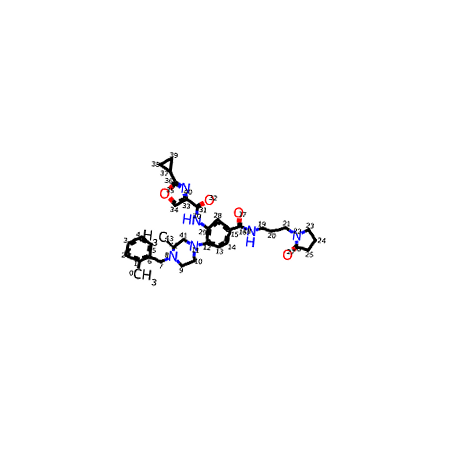 Cc1ccccc1CN1CCN(c2ccc(C(=O)NCCCN3CCCC3=O)cc2NC(=O)c2coc(C3CC3)n2)C[C@@H]1C